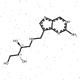 Nc1nc2c(CNC[C@H](O)[C@H](O)CO)cnc-2c[nH]1